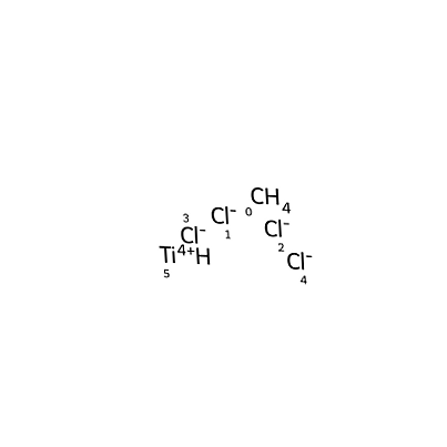 C.[Cl-].[Cl-].[Cl-].[Cl-].[TiH+4]